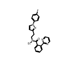 CCN(CCc1ccn(-c2ccc(F)cc2)n1)C(=O)c1ccccc1-c1ncccn1